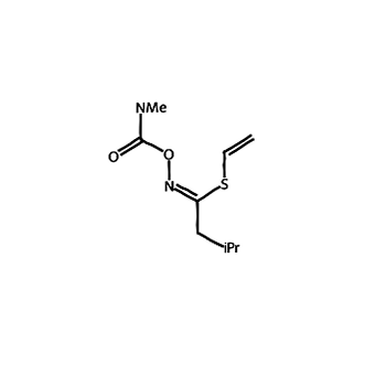 C=CSC(CC(C)C)=NOC(=O)NC